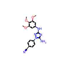 COc1cc(Nc2nc(N)n(-c3ccc(C#N)cc3)n2)cc(OC)c1OC